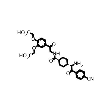 N#Cc1ccc(C(=O)C(N)[C@H]2CC[C@H](C(=O)NCC(=O)c3ccc(OCC(=O)O)c(OCC(=O)O)c3)CC2)cc1